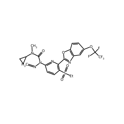 C=NN(C(=O)N(C)C1CC1)c1ccc(S(=O)(=O)CC)c(-c2nc3cc(OC(F)(F)C(F)(F)F)ccc3o2)n1